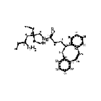 CCC(N)CC(CC)(CC)CNC(=O)CCC1Cc2ccccc2/C=C\c2ccccc21